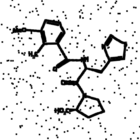 COc1cccc(C(=O)N[C@@H](Cc2cscn2)C(=O)N2CCC[C@H]2C(=O)O)c1C